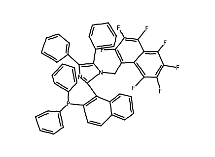 Fc1c(F)c(F)c2c(Cn3c(-c4c(P(c5ccccc5)c5ccccc5)ccc5ccccc45)nc(-c4ccccc4)c3-c3ccccc3)c(F)c(F)c(F)c2c1F